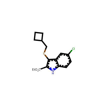 CCOC(=O)c1[nH]c2ccc(Cl)cc2c1SCC1CCC1